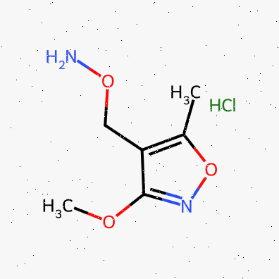 COc1noc(C)c1CON.Cl